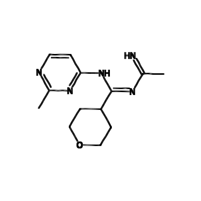 CC(=N)/N=C(\Nc1ccnc(C)n1)C1CCOCC1